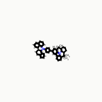 CC1(C)C2=C3C(CC=C2)C(C)(C)c2cccc4c5cc(-c6ccc(N(C7=c8ccccc8=CCC7)c7cccc8ccccc78)cc6)cc1c5n3c24